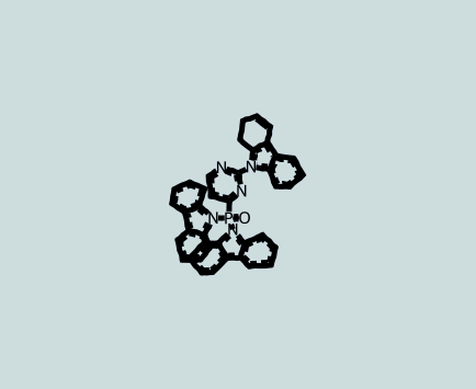 O=P(c1ccnc(-n2c3c(c4ccccc42)C=CCC3)n1)(n1c2ccccc2c2ccccc21)n1c2ccccc2c2ccccc21